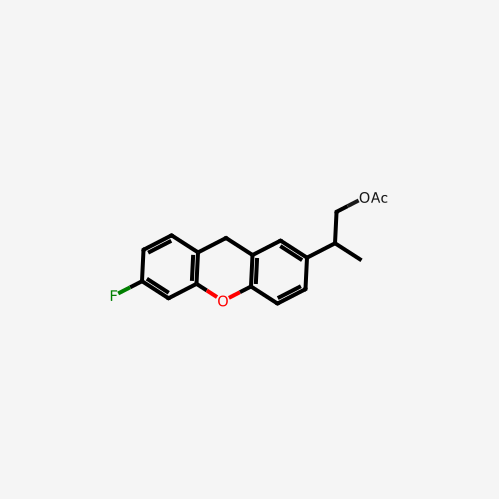 CC(=O)OCC(C)c1ccc2c(c1)Cc1ccc(F)cc1O2